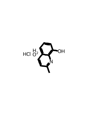 Cc1ccc2cccc(O)c2n1.Cl.O